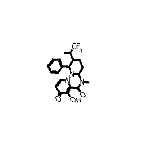 CC(C1CCC2N(C)C(=O)c3c(O)c(=O)ccn3N2C1c1ccccc1)C(F)(F)F